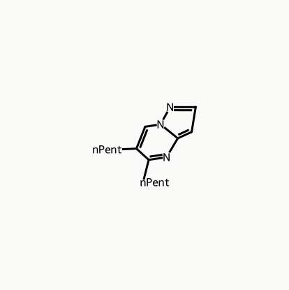 CCCCCc1cn2nccc2nc1CCCCC